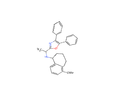 COc1cccc2c1CCCC2NC(C)c1nc(-c2ccccc2)c(-c2ccccc2)o1